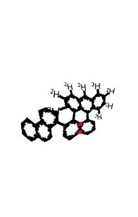 [2H]c1c([2H])c([2H])c2c(-c3ccccc3)c3c(-c4ccccc4-c4cccc5c4ccc4ccccc45)c([2H])c([2H])c([2H])c3c([2H])c2c1[2H]